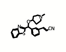 CN1CCC(OC(c2cccc(C=CC#N)c2)c2nc3ccccc3s2)CC1